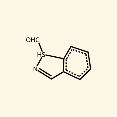 O=C[SH]1N=Cc2ccccc21